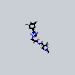 Cc1cc(C)cc(-c2ncn(/C=C\C(=O)NCc3cnc(C)nc3C)n2)c1